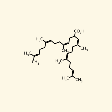 CC(C)=CCCC(C)=CCCC(C)=CCC(C=C(C)CCC=C(C)CCC=C(C)C)C(=O)O